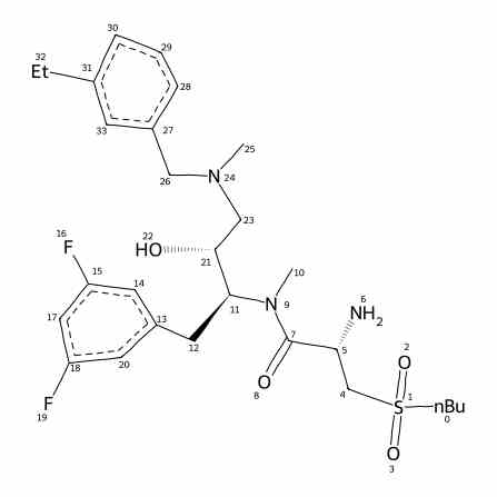 CCCCS(=O)(=O)C[C@@H](N)C(=O)N(C)[C@@H](Cc1cc(F)cc(F)c1)[C@H](O)CN(C)Cc1cccc(CC)c1